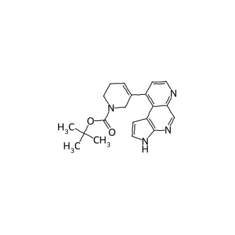 CC(C)(C)OC(=O)N1CCC=C(c2ccnc3cnc4[nH]ccc4c23)C1